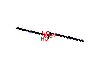 CCCCCCCC/C=C/CCCCCCCCOCC(CO)OC(CO)COCCCCCCCC/C=C/CCCCCCCC